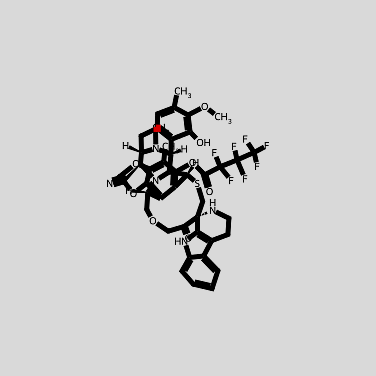 COc1c(C)cc2c(c1O)[C@@H]1C3[C@@H]4SC[C@]5(NCCc6c5[nH]c5ccccc65)C(=O)COC[C@@H](c5c6c(c(C)c(OC(=O)C(F)(F)C(F)(F)C(F)(F)F)c54)OCO6)N3[C@@H](C#N)[C@H](C2)N1C